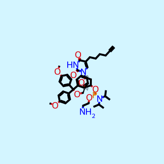 C#CCCCCc1cn([C@H]2CC(OP(OCCN)N(C(C)C)C(C)C)[C@@H](COC(c3ccccc3)(c3ccc(OC)cc3)c3ccc(OC)cc3)O2)c(=O)[nH]c1=O